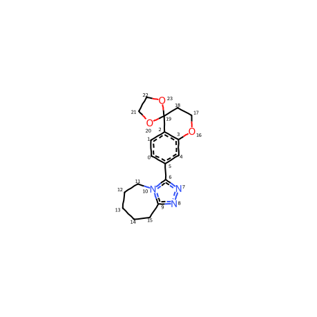 c1cc2c(cc1-c1nnc3n1CCCCC3)OCCC21OCCO1